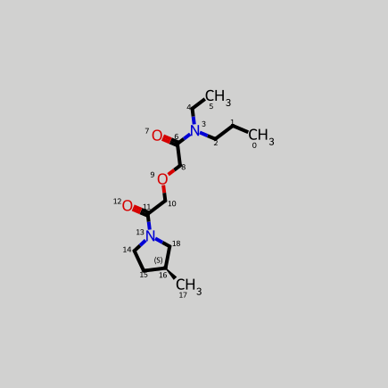 CCCN(CC)C(=O)COCC(=O)N1CC[C@H](C)C1